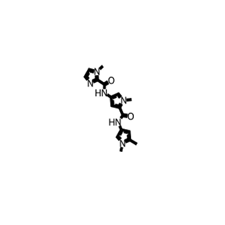 Cc1cc(NC(=O)c2cc(NC(=O)c3nccn3C)cn2C)cn1C